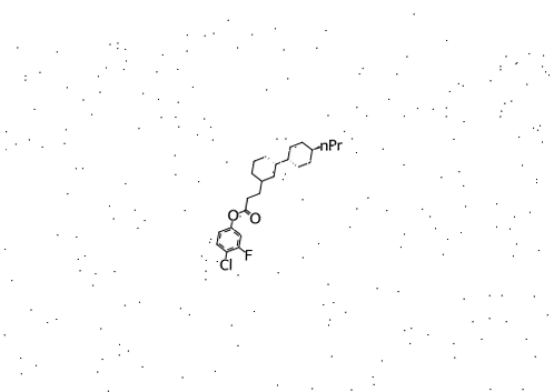 CCC[C@H]1CC[C@H]([C@H]2CCCC(CCC(=O)Oc3ccc(Cl)c(F)c3)C2)CC1